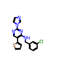 Clc1cccc(CNc2nc(-n3ccnc3)ncc2-c2cccs2)c1